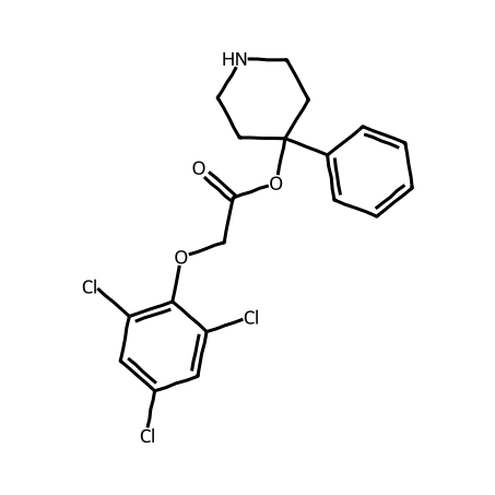 O=C(COc1c(Cl)cc(Cl)cc1Cl)OC1(c2ccccc2)CCNCC1